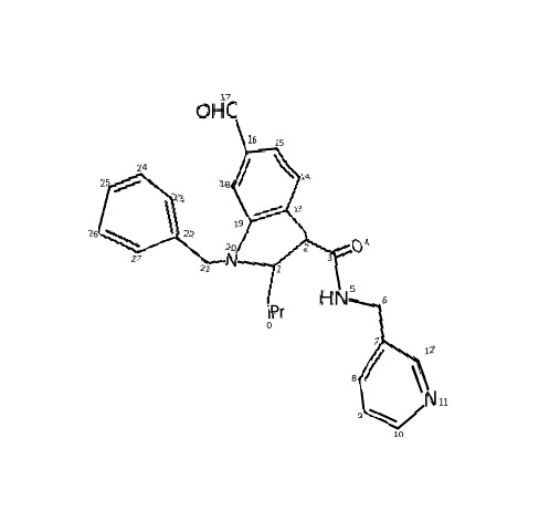 CC(C)C1C(C(=O)NCc2cccnc2)c2ccc(C=O)cc2N1Cc1ccccc1